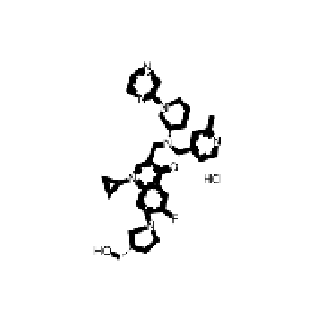 Cc1cc(CN(Cc2cn(C3CC3)c3cc(N4CC[C@H](CO)C4)c(F)cc3c2=O)[C@H]2CCCN(c3cnccn3)C2)ccn1.Cl